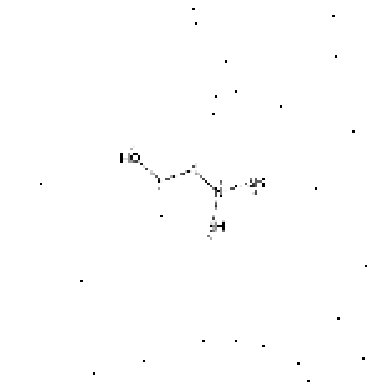 OCCN(S)S